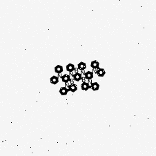 c1ccc(N(c2ccccc2)c2cc3c4c(c2)-n2c5ccccc5c5cccc(c52)B4c2cc4c5c6c2N3c2ccccc2B6c2ccccc2N5c2cc(-n3c5ccccc5c5ccccc53)cc3c2B4c2cccc4c5ccccc5n-3c24)cc1